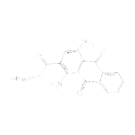 CCCCCOC(=O)c1cc([N+](=O)[O-])c2c(c1N)C(=O)c1ccccc1C2=O